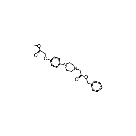 COC(=O)COc1ccc(N2CCN(CC(=O)OCc3ccccc3)CC2)cc1